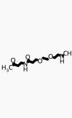 CNCCOCCOCCC(=O)NCCC(C)=O